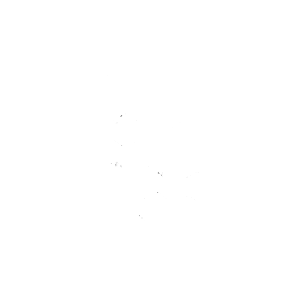 Cc1ccc(CN2C(=O)C(NC(=O)C[C@H](N)Cc3ccccc3F)Cc3ncccc32)cc1.Cl.Cl